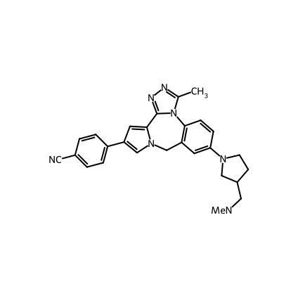 CNCC1CCN(c2ccc3c(c2)Cn2cc(-c4ccc(C#N)cc4)cc2-c2nnc(C)n2-3)C1